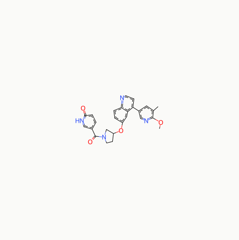 COc1ncc(-c2ccnc3ccc(OC4CCN(C(=O)c5ccc(=O)[nH]c5)C4)cc23)cc1C